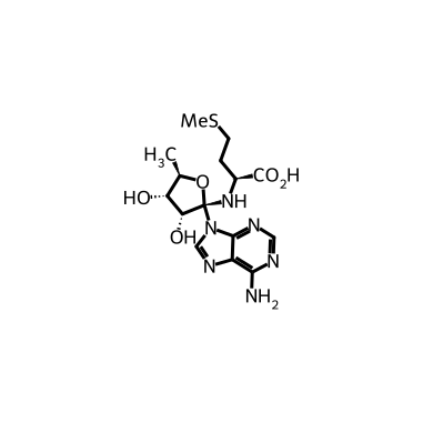 CSCC[C@H](N[C@]1(n2cnc3c(N)ncnc32)O[C@H](C)[C@@H](O)[C@H]1O)C(=O)O